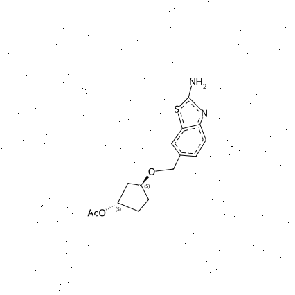 CC(=O)O[C@H]1CC[C@H](OCc2ccc3nc(N)sc3c2)C1